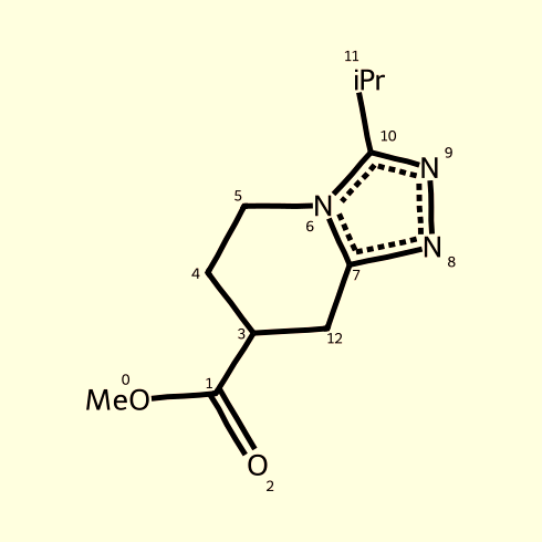 COC(=O)C1CCn2c(nnc2C(C)C)C1